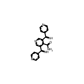 N=C(c1ccncc1)c1cncc(C(=N)c2ccncc2)c1C(N)=O